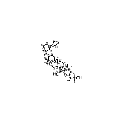 CC(C1C[C@@H](C)[C@H]2C(O1)[C@H](O)[C@@]1(C)C3CC[C@H]4C(C)(C)C(OC5CN(C6COC6)CCO5)CCC45CC35CCC21C)C(C)(C)O